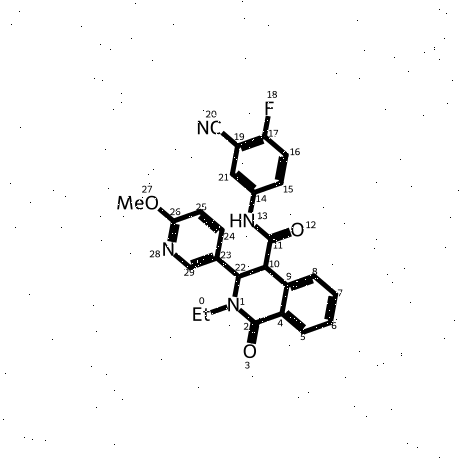 CCN1C(=O)c2ccccc2C(C(=O)Nc2ccc(F)c(C#N)c2)C1c1ccc(OC)nc1